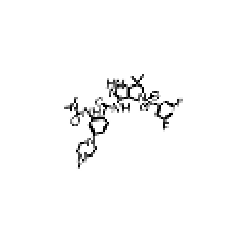 CN1CCN(c2ccc(C(=O)Nc3n[nH]c4c3CN(S(=O)(=O)c3cc(F)cc(F)c3)CC4(C)C)c(NC(=O)N(C)C)c2)CC1